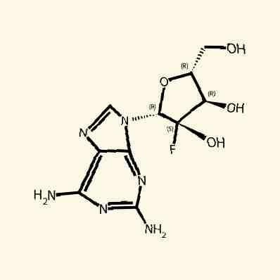 Nc1nc(N)c2ncn([C@@H]3O[C@H](CO)[C@@H](O)[C@]3(O)F)c2n1